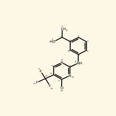 CC(O)c1cccc(Nc2ncc(C(F)(F)F)c(Cl)n2)c1